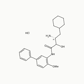 COc1ccc(-c2ccccc2)cc1NC(=O)C(O)[C@H](N)CC1CCCCC1.Cl